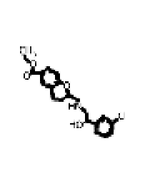 CCOC(=O)c1ccc2c(c1)CCC(CNC[C@@H](O)c1cccc(Cl)c1)O2